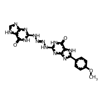 COc1ccc(-c2nc3nc(NN=NNc4nc5nc[nH]c5c(=O)[nH]4)[nH]c(=O)c3[nH]2)cc1